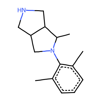 Cc1cccc(C)c1N1CC2CNCC2C1C